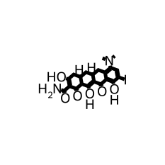 CN(C)c1cc(I)c(O)c2c1C[C@H]1C[C@H]3CC(O)=C(C(N)=O)C(=O)C3C(O)=C1C2=O